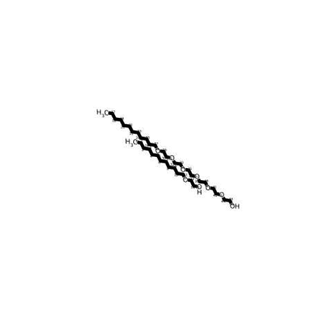 CCCCCCCCCCCCOCCO.CCCCCCCCCCCCOCCOCCOCCOCCOCCOCCO